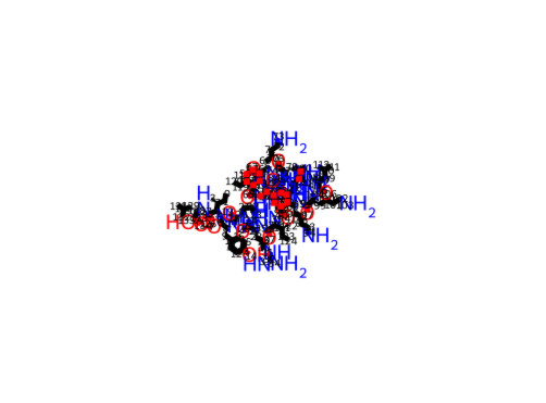 CC[C@H](C)[C@H](NC(=O)[C@H](Cc1ccc(O)cc1)NC(=O)[C@@H]1CCCN1C(=O)[C@H](CCCNC(=N)N)NC(=O)[C@@H](NC(=O)[C@H](CCCNC(=N)N)NC(=O)[C@H](Cc1ccccc1)NC(=O)[C@@H](NC(=O)[C@H](CCCCN)NC(=O)[C@H](CC(C)C)NC(=O)[C@@H](NC(=O)[C@H](CCCCN)NC(=O)[C@H](CCCCN)NC(=O)[C@@H](N)CC(C)C)[C@@H](C)CC)[C@@H](C)CC)[C@@H](C)CC)C(=O)N[C@@H](CC(C)C)C(=O)O